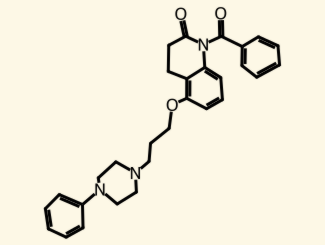 O=C1CCc2c(OCCCN3CCN(c4ccccc4)CC3)cccc2N1C(=O)c1ccccc1